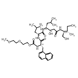 CC[C@H](C)[C@@H](CO)NC(=O)C[C@H](O)[C@H](CC(C)C)NC(=O)[C@H](CC(C)C)NC(=O)[C@H](Cc1cccc2ccccc12)NC(=O)OCCOCCOC